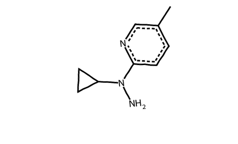 Cc1ccc(N(N)C2CC2)nc1